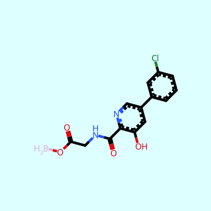 BOC(=O)CNC(=O)c1ncc(-c2cccc(Cl)c2)cc1O